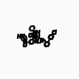 O=C(Nc1cc(C(=O)N2CCNCC2)ccc1N1CCN(Cc2ccccc2-c2ccc(Cl)cc2)CC1)NC1CCCCC1